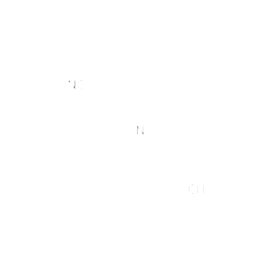 Cc1ccc(C=Nc2ccc(C#N)cc2)cc1